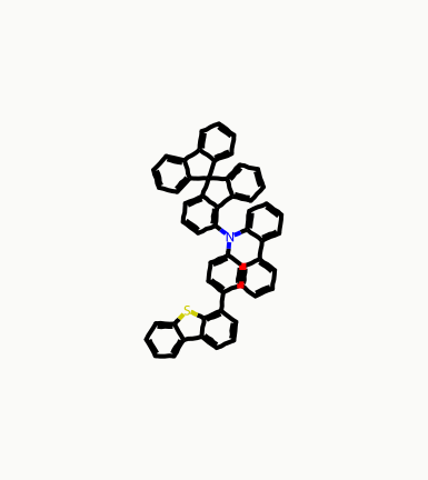 c1ccc(-c2ccccc2N(c2ccc(-c3cccc4c3sc3ccccc34)cc2)c2cccc3c2-c2ccccc2C32c3ccccc3-c3ccccc32)cc1